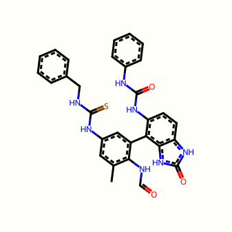 Cc1cc(NC(=S)NCc2ccccc2)cc(-c2c(NC(=O)Nc3ccccc3)ccc3[nH]c(=O)[nH]c23)c1NC=O